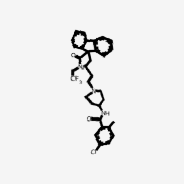 Cc1ccc(Cl)cc1C(=O)NC1CCN(CCCCC2(C(=O)NCC(F)(F)F)c3ccccc3-c3ccccc32)CC1